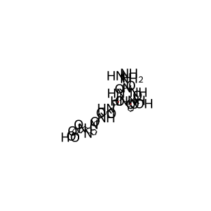 CC[C@@]1(O)C(=O)OCc2c1cc1n(c2=O)Cc2c-1nc1ccccc1c2C=NOCCNC(=O)CCC(=O)NCc1ccc(CC2NC(=O)C(CCCNC(=N)N)NC(=O)CNC(=O)C(CC(=O)O)NC(=O)C(Cc3ccccc3)NC2=O)cc1